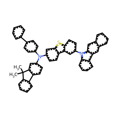 CC1(C)c2ccccc2-c2ccc(N(c3ccc(-c4ccccc4)cc3)c3ccc4c(c3)sc3ccc(-n5c6ccccc6c6cc7ccccc7cc65)cc34)cc21